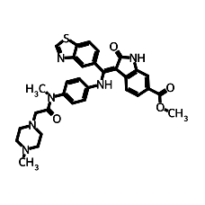 COC(=O)c1ccc2c(c1)NC(=O)C2=C(Nc1ccc(N(C)C(=O)CN2CCN(C)CC2)cc1)c1ccc2scnc2c1